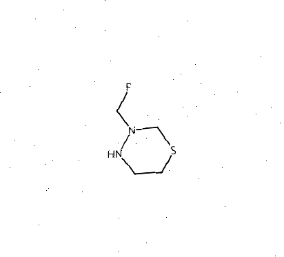 FCN1CSCCN1